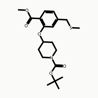 COC(=O)c1ccc(CSC)cc1OC1CCN(C(=O)OC(C)(C)C)CC1